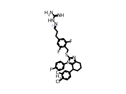 Cc1cc(C2CCCc3nc(SCc4c(F)cc(CC/C=N/NC(=N)N)cc4F)n(-c4ccc(F)cc4)c32)ccc1Cl